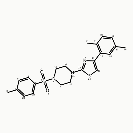 Cc1ccc(S(=O)(=O)N2CCN(c3nc(-c4cc(C)ccc4C)cs3)CC2)cc1